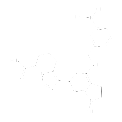 CN1CCc2c(NCc3cccc(B(O)O)c3)nc(-c3ncn4c(C(N)=O)cccc34)nc21